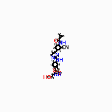 N#Cc1cc(-c2ccnc(Nc3cccc(CS(=O)(=O)NCCO)c3)n2)ccc1NC(=O)C1CC1